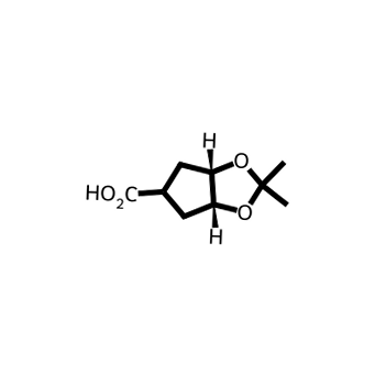 CC1(C)O[C@H]2CC(C(=O)O)C[C@H]2O1